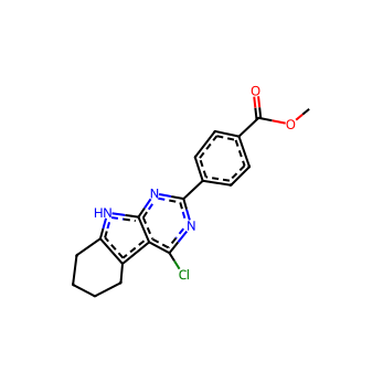 COC(=O)c1ccc(-c2nc(Cl)c3c4c([nH]c3n2)CCCC4)cc1